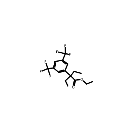 CCOC(=O)C(CC)(CC)c1cc(C(F)(F)F)cc(C(F)(F)F)c1